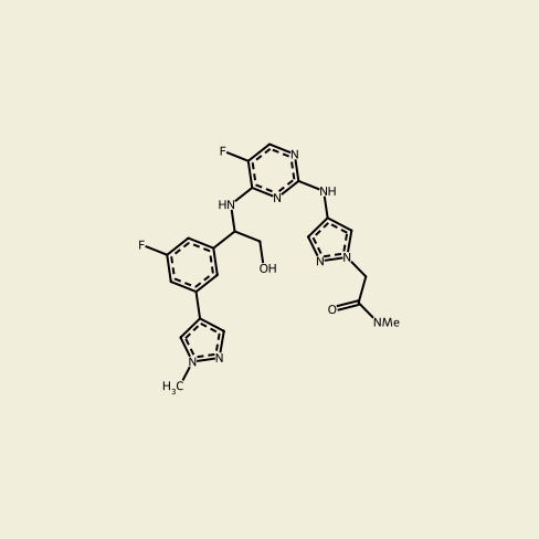 CNC(=O)Cn1cc(Nc2ncc(F)c(NC(CO)c3cc(F)cc(-c4cnn(C)c4)c3)n2)cn1